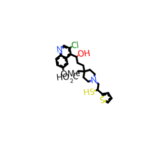 COc1ccc2ncc(Cl)c([C@@H](O)CCC3(CC(=O)O)CCN(CC(S)c4cccs4)CC3)c2c1